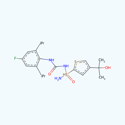 CC(C)c1cc(F)cc(C(C)C)c1NC(=O)N[SH](N)(=O)c1cc(C(C)(C)O)cs1